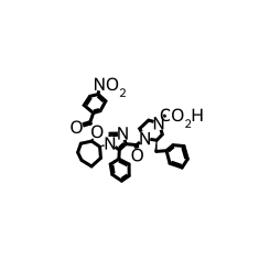 O=C(O[C@H]1CCCCC[C@H]1n1cnc(C(=O)N2CCN(C(=O)O)C[C@H]2Cc2ccccc2)c1-c1ccccc1)c1ccc([N+](=O)[O-])cc1